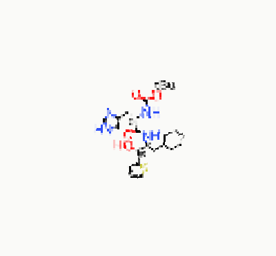 CC(C)(C)OC(=O)N[C@@H](Cc1c[nH]cn1)C(=O)N[C@@H](CC1CCCCC1)[C@@H](O)c1cccs1